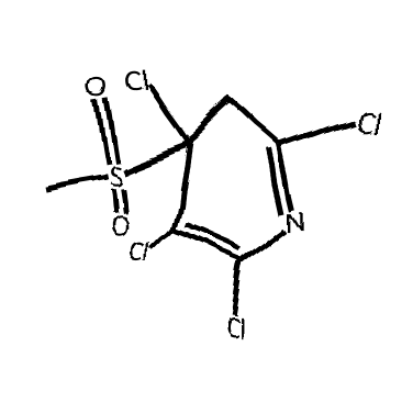 CS(=O)(=O)C1(Cl)CC(Cl)=NC(Cl)=C1Cl